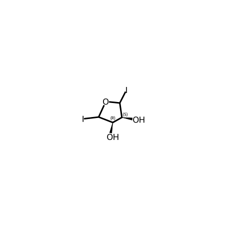 O[C@@H]1C(I)OC(I)[C@@H]1O